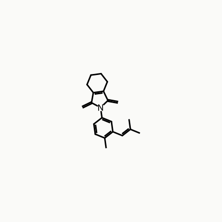 C=c1c2c(c(=C)n1-c1ccc(C)c(C=C(C)C)c1)CCCC2